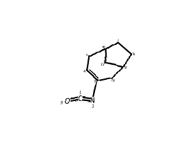 O=C=NC1=CCC2CCC(C1)C2